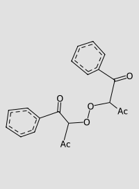 CC(=O)C(OOC(C(C)=O)C(=O)c1ccccc1)C(=O)c1ccccc1